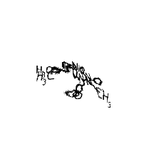 CCCCn1c(-c2ccccc2)nc(-c2ccccc2)c1C(Cc1ccc2c(c1)OCO2)NCc1ccc2c(N(CC)CC)ncnc2c1